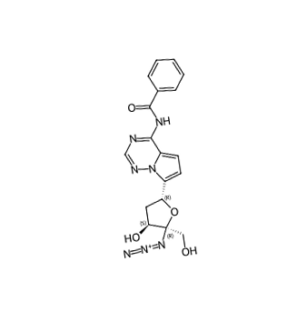 [N-]=[N+]=N[C@]1(CO)O[C@@H](c2ccc3c(NC(=O)c4ccccc4)ncnn23)C[C@@H]1O